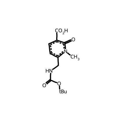 Cn1c(CNC(=O)OC(C)(C)C)ccc(C(=O)O)c1=O